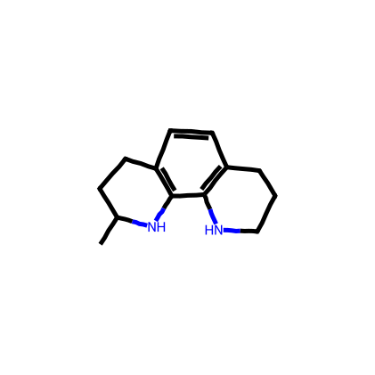 CC1CCc2ccc3c(c2N1)NCCC3